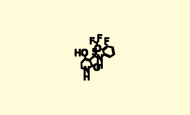 O=C1NCCC(O)=C1C(=S)Nc1cccc(F)c1OC(F)F